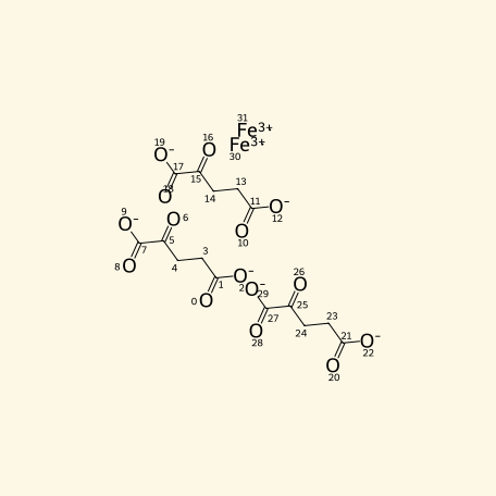 O=C([O-])CCC(=O)C(=O)[O-].O=C([O-])CCC(=O)C(=O)[O-].O=C([O-])CCC(=O)C(=O)[O-].[Fe+3].[Fe+3]